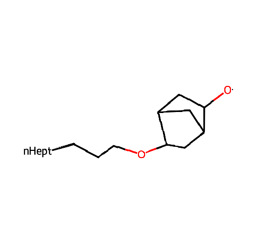 [CH2]CCCCCCCCCOC1CC2CC1CC2[O]